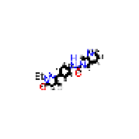 CCN1N=C(c2ccc(NC(=O)N3Cc4cccnc4C3)cc2)C(C)CC1=O